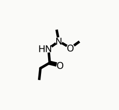 CCC(=O)NN(C)OC